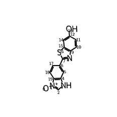 [O-][n+]1c[nH]c2cc(-c3nc4ccc(O)cc4s3)ccc21